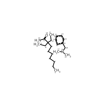 CCCCCCCC(CC)(CC)C(N)=O.CN(C)Cc1ccccc1